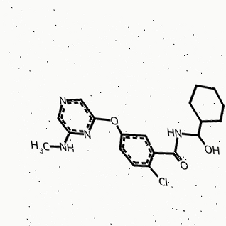 CNc1cncc(Oc2ccc(Cl)c(C(=O)NC(O)C3CCCCC3)c2)n1